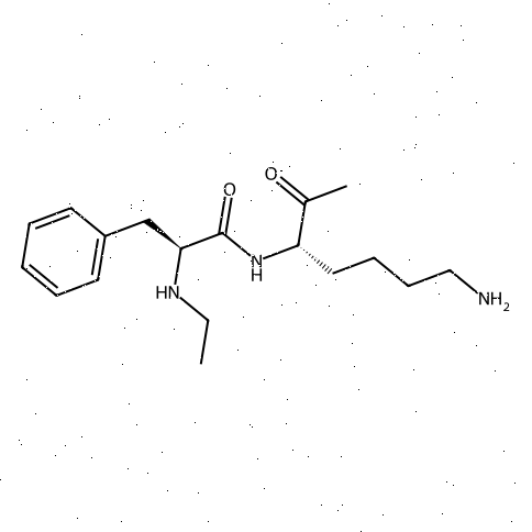 CCN[C@@H](Cc1ccccc1)C(=O)N[C@@H](CCCCN)C(C)=O